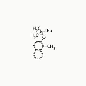 Cc1c(O[Si](C)(C)C(C)(C)C)ccc2c[c]ccc12